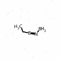 B/N=B/CC